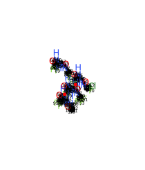 CC(NC(=O)Nc1ccc(F)c(Cl)c1)c1c[nH]c(=O)c2cc(F)c(F)cc12.CC(c1c[nH]c(=O)c2cc(F)c(F)cc12)N(C)C(=O)NCc1cc(F)c(F)c(F)c1.CC(c1c[nH]c(=O)c2cc(F)c(F)cc12)N(C)C(=O)NCc1ccc(F)cc1.CC(c1c[nH]c(=O)c2cc(F)c(F)cc12)N(C)C(=O)N[C@H](C)c1ccccc1